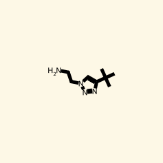 CC(C)(C)c1cn(CCN)nn1